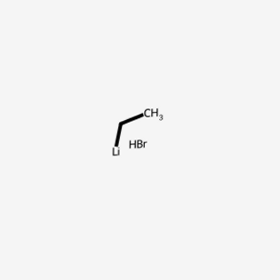 Br.[Li][CH2]C